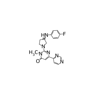 Cn1c(N2CC[C@@H](Nc3ccc(F)cc3)C2)nc(-c2ccncn2)cc1=O